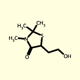 CN1C(=O)C(CCO)SC1(C)C